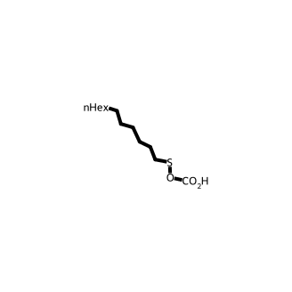 CCCCCCCCCCCCSOC(=O)O